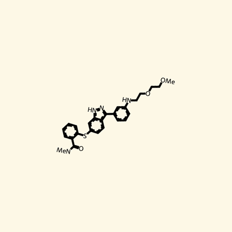 CNC(=O)c1ccccc1Sc1ccc2c(-c3cccc(NCCOCCOC)c3)n[nH]c2c1